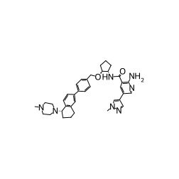 CN1CCN([C@H]2CCCc3cc(-c4ccc(CO[C@H]5CCC[C@@H]5NC(=O)c5cc(-c6cnn(C)c6)cnc5N)cc4)ccc32)CC1